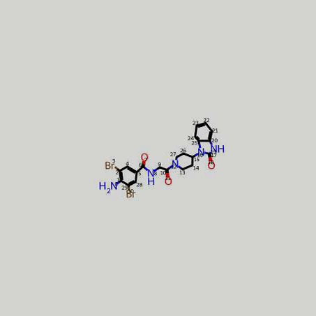 Nc1c(Br)cc(C(=O)NCC(=O)N2CCC(n3c(=O)[nH]c4ccccc43)CC2)cc1Br